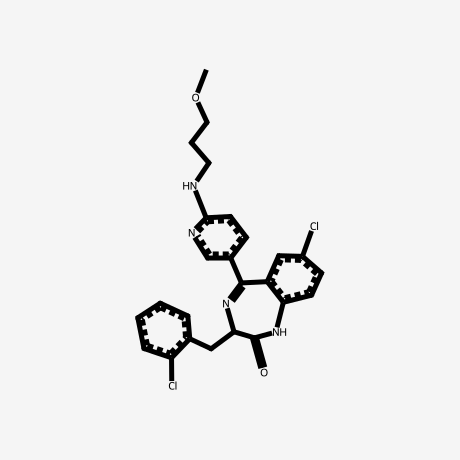 COCCCNc1ccc(C2=NC(Cc3ccccc3Cl)C(=O)Nc3ccc(Cl)cc32)cn1